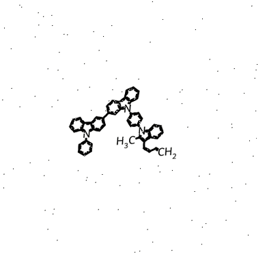 C=C/C=C\c1c(C)n(-c2ccc(-n3c4ccccc4c4ccc(-c5ccc6c(c5)c5ccccc5n6-c5ccccc5)cc43)cc2)c2ccccc12